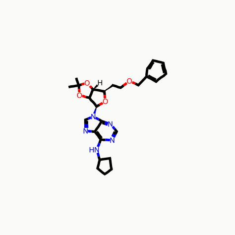 CC1(C)OC2[C@H](n3cnc4c(NC5CCCC5)ncnc43)O[C@H](CCOCc3ccccc3)[C@H]2O1